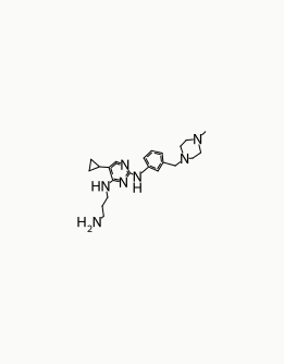 CN1CCN(Cc2cccc(Nc3ncc(C4CC4)c(NCCCN)n3)c2)CC1